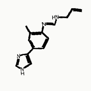 C=CCNC=Nc1ccc(-c2c[nH]cn2)cc1C